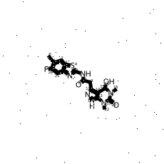 Cc1cc2sc(NC(=O)Cc3n[nH]c4c3C(O)N(C)C(=O)N4C)nc2cc1F